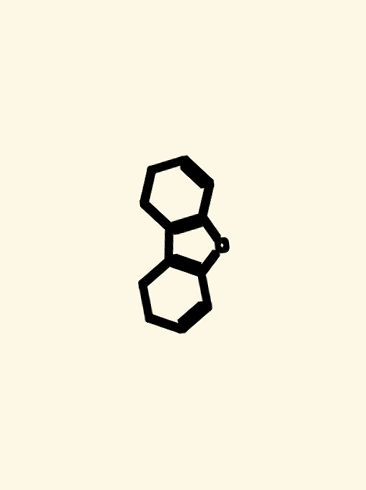 C1=Cc2oc3c(c2CC1)CCC=C3